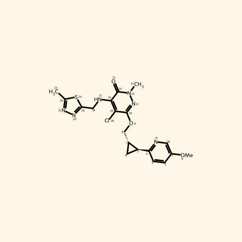 COc1ccc([C@H]2C[C@@H]2COc2nn(C)c(=O)c(NCc3nnc(C)s3)c2Cl)nc1